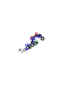 CCN1CC[C@@H](Nc2cccc3c2cc(-c2noc(CNC(=O)c4ccn(C5CCCC5)c4)n2)n3CC(F)(F)F)[C@@H](F)C1